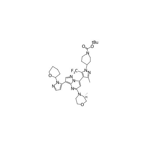 Cc1nn(C2CCN(C(=O)OC(C)(C)C)CC2)c(C(F)(F)F)c1-c1cc(N2CCOC[C@H]2C)nc2c(-c3ccnn3C3CCCCO3)cnn12